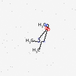 CCCCC/C=C\C/C=C\CCCCCCCCC1(CCCCCCCC/C=C\CCCCCCCC)OCC2(CCCN(C)C2)O1